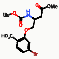 COC(=O)CC(COc1cc(Br)ccc1C(=O)O)NC(=O)OC(C)(C)C